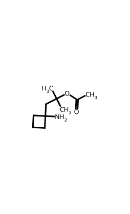 CC(=O)OC(C)(C)CC1(N)CCC1